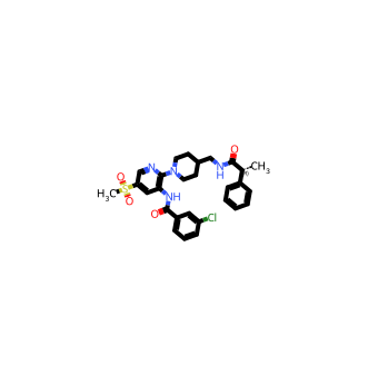 C[C@@H](C(=O)NCC1CCN(c2ncc(S(C)(=O)=O)cc2NC(=O)c2cccc(Cl)c2)CC1)c1ccccc1